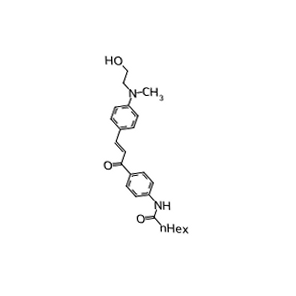 CCCCCCC(=O)Nc1ccc(C(=O)/C=C/c2ccc(N(C)CCO)cc2)cc1